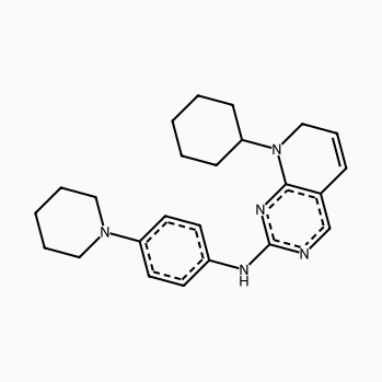 C1=Cc2cnc(Nc3ccc(N4CCCCC4)cc3)nc2N(C2CCCCC2)C1